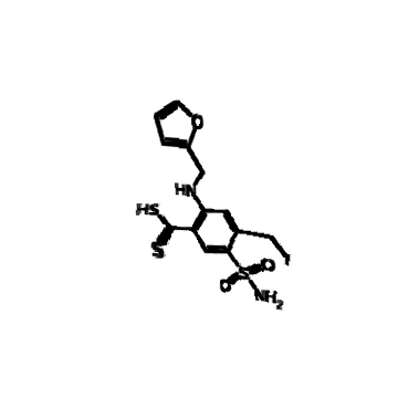 NS(=O)(=O)c1cc(C(=S)S)c(NCc2ccco2)cc1CI